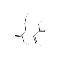 C=CC(=O)O.NCCC(=O)O